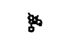 Cc1cc(N(C)C2CCOCC2)c2[nH]c(-c3ccccc3)cc2c1